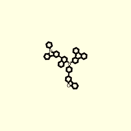 c1ccc(-n2c3ccccc3c3cc(-c4ccc(N(c5ccc(-c6ccc7oc8ccccc8c7c6)cc5)c5ccc6c7ccccc7c7ccccc7c6c5)c5ccccc45)ccc32)cc1